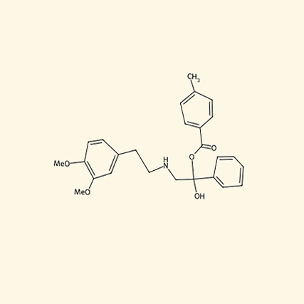 COc1ccc(CCNCC(O)(OC(=O)c2ccc(C)cc2)c2ccccc2)cc1OC